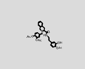 CC(=O)Oc1ccc(CCNC(=O)C2Cc3ccccc3CN2Cc2ccc(OC(C)=O)c(OC(C)=O)c2)cc1OC(C)=O